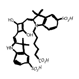 CC1(C)C(=CC2C(O)=C(C=C3N(CCCCCC(=O)O)c4ccc(S(=O)(=O)O)cc4C3(C)C)C2O)Nc2ccc(S(=O)(=O)O)cc21